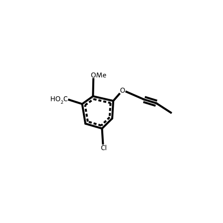 CC#COc1cc(Cl)cc(C(=O)O)c1OC